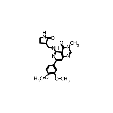 COc1ccc(-c2cc3ncn(C)c(=O)c3c(NCC3CCNC3=O)n2)cc1OC